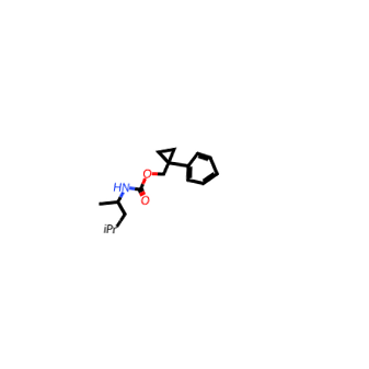 CC(C)CC(C)NC(=O)OCC1(c2ccccc2)CC1